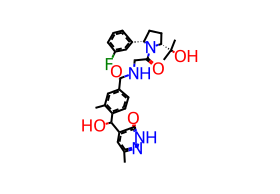 Cc1cc(C(O)c2ccc(C(=O)NCC(=O)N3[C@H](c4cccc(F)c4)CC[C@@H]3C(C)(C)O)cc2C)c(=O)[nH]n1